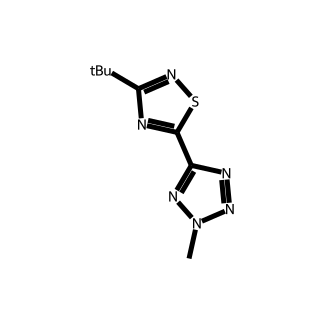 Cn1nnc(-c2nc(C(C)(C)C)ns2)n1